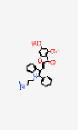 CN(C)CCCn1c(-c2ccccc2)c(C=C2Oc3cc(O)cc(O)c3C2=O)c2ccccc21